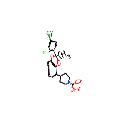 C[C@]1(c2ccc(Cl)cc2F)Oc2cccc(C3CCN(C(=O)O)CC3)c2O1